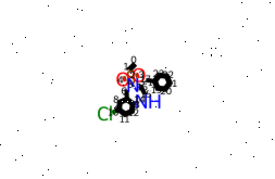 C=CS(=O)(=O)N1Cc2cc(Cl)ccc2NC[C@H]1Cc1ccccc1